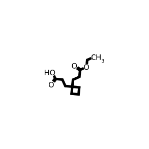 CCOC(=O)CCC1(CCC(=O)O)CCC1